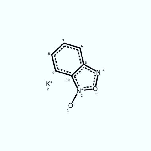 [K+].[O-][n+]1onc2ccccc21